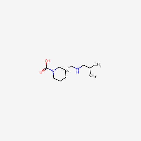 CC(C)CNC[C@@H]1CCCN(C(=O)O)C1